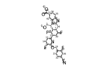 COCCn1c(Cc2cc(F)c(-c3ccc(F)c(OCc4ccc(C#N)cc4F)n3)cc2F)nc2ccc(C(=O)OC)cc21